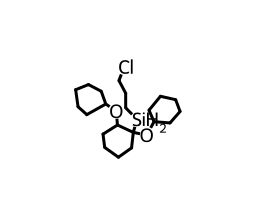 ClCCC[SiH2]C1(OC2CCCCC2)CCCCC1OC1CCCCC1